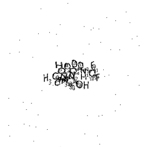 CC(C)N1C(=O)c2c(O)c(=O)c(C(=O)NCc3ccc(F)cc3F)cn2N2C[C@@H](O)CCC[C@@H]12